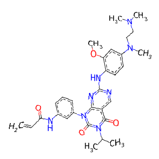 C=CC(=O)Nc1cccc(-n2c(=O)n(C(C)C)c(=O)c3cnc(Nc4ccc(N(C)CCN(C)C)cc4OC)nc32)c1